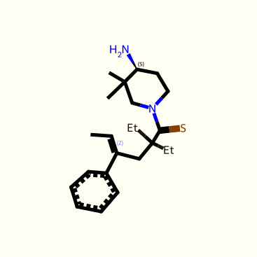 C/C=C(/CC(CC)(CC)C(=S)N1CC[C@H](N)C(C)(C)C1)c1ccccc1